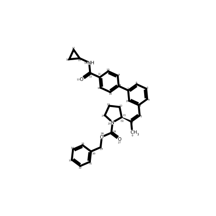 CC(=Cc1cccc(-c2ccc(C(=O)NC3CC3)cc2)c1)[C@@H]1CCCN1C(=O)OCc1ccccc1